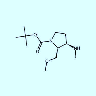 CN[C@@H]1CCN(C(=O)OC(C)(C)C)[C@@H]1COC